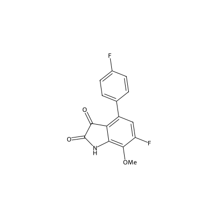 COc1c(F)cc(-c2ccc(F)cc2)c2c1NC(=O)C2=O